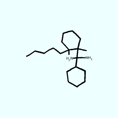 CCCCCC1(C)CCCCC1(C)C(N)(N)C1CCCCC1